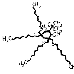 CCCCCCCCSCC1(CSCCCCCCCC)C=C(C(C)(C)C)C(O)C(CSCCCCCCCC)(CSCCCCCCCC)C1